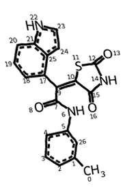 Cc1cccc(NC(=O)C(=C2SC(=O)NC2=O)c2cccc3[nH]ccc23)c1